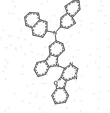 c1ccc2cc(N(c3ccc4ccccc4c3)c3ccc4c(c3)c3ccccc3n4-c3ncnc4c3oc3ccccc34)ccc2c1